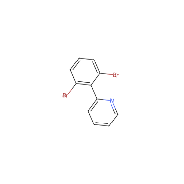 Brc1cccc(Br)c1-c1ccccn1